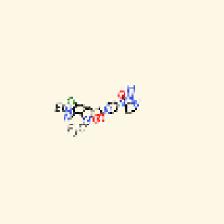 CCn1ncc2c1=C(Cl)CC1=C[C@H](CC(=O)N3CCC(n4c(=O)[nH]c5ncccc54)CC3)C(=O)N(CC(F)(F)F)CC=21